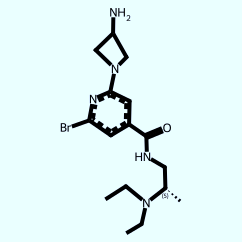 CCN(CC)[C@@H](C)CNC(=O)c1cc(Br)nc(N2CC(N)C2)c1